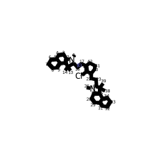 CN1c2ccc3ccccc3c2C(C)(C)C1/C=C/C1=C(Cl)C(CCC2N(C)c3ccc4ccccc4c3C2(C)C)CCC1